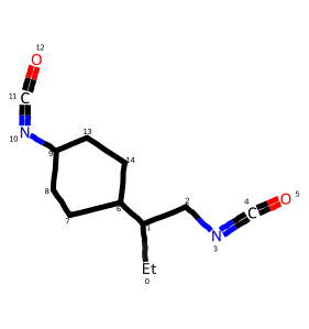 CCC(CN=C=O)C1CCC(N=C=O)CC1